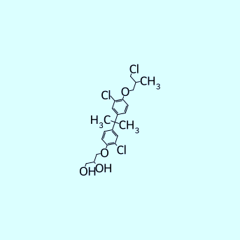 CC(CCl)COc1ccc(C(C)(C)c2ccc(OCC(O)CO)c(Cl)c2)cc1Cl